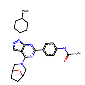 CNC(=O)Nc1ccc(-c2nc(N3CC4CCC(C3)O4)c3cnn([C@H]4CC[C@H](OC)CC4)c3n2)cc1